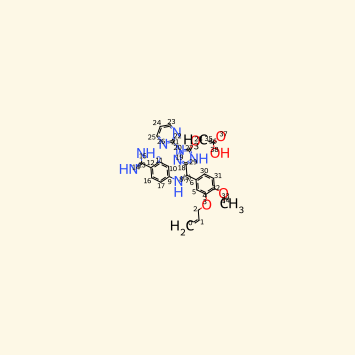 C=CCOc1cc([C@H](Nc2ccc(C(=N)N)cc2)c2nn(-c3ncccn3)c(=O)[nH]2)ccc1OC.CC(=O)O